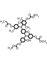 CCC(=O)COc1cc(C)c(C(c2ccc(C(c3ccc(OCC(=O)OC)cc3O)c3ccc(OCC(=O)OC)cc3O)cc2)c2cc(C)c(OCC(=O)OC)cc2C)cc1C